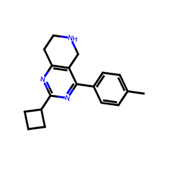 Cc1ccc(-c2nc(C3CCC3)nc3c2CNCC3)cc1